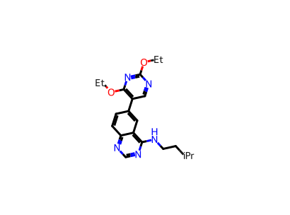 CCOc1ncc(-c2ccc3ncnc(NCCC(C)C)c3c2)c(OCC)n1